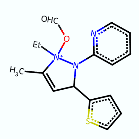 CC[N+]1(OC=O)C(C)=CC(c2cccs2)N1c1ccccn1